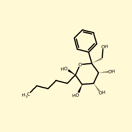 CCCCC[C@]1(O)O[C@@](CO)(c2ccccc2)[C@H](O)[C@H](O)[C@H]1O